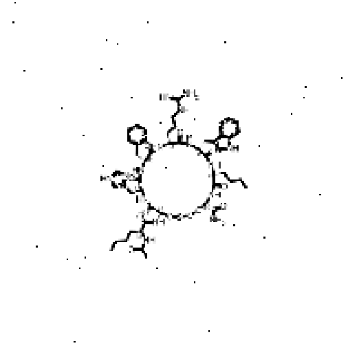 CCCC[C@H](NC(C)=O)C(=O)N[C@H]1CSSC[C@@H](C(N)=O)NC(=O)[C@H](CCCC)NC(=O)[C@@H](Cc2c[nH]c3ccccc23)NC(=O)[C@H](CCCNC(=N)N)NC(=O)[C@@H](Cc2ccccc2)NC(=O)[C@H](Cc2c[nH]cn2)NC1=O